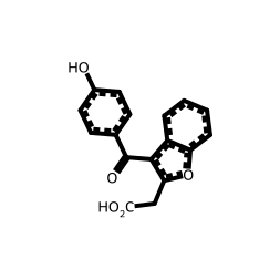 O=C(O)Cc1oc2ccccc2c1C(=O)c1ccc(O)cc1